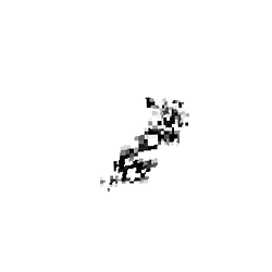 CCOP(=O)(OCC)N(C[C@H]1O[C@@H](n2cnc3c(N)ncnc32)CC1O)P(=O)(OCC)OCC